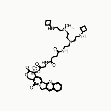 CC[C@]1(OC(=O)CNC(=O)CCC(=O)NCCN(CCNC2CCC2)CCN(C)CCNC2CCC2)C(=O)OCc2c1cc1n(c2=O)Cc2cc3ccccc3nc2-1